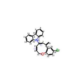 C=C1/C=C(n2c3ccccc3c3ccccc32)\C=C/COc2ccc(Br)cc21